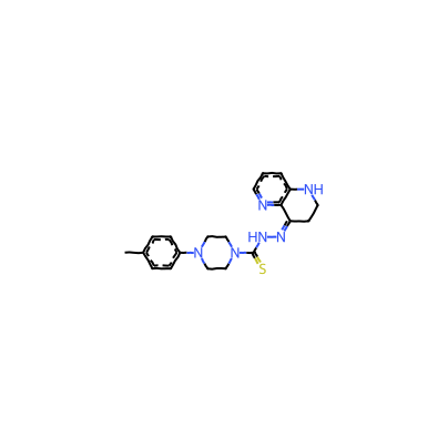 Cc1ccc(N2CCN(C(=S)N/N=C3/CCNc4cccnc43)CC2)cc1